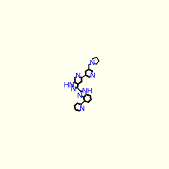 c1ccc(-c2cccc3[nH]c(-c4n[nH]c5cnc(-c6cncc(CN7CCCC7)c6)cc45)nc23)nc1